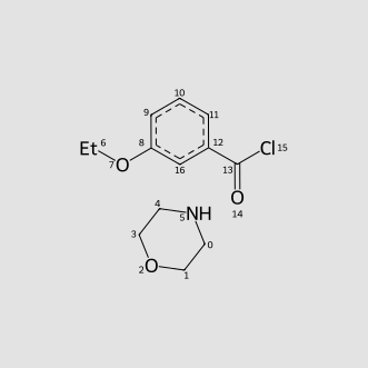 C1COCCN1.CCOc1cccc(C(=O)Cl)c1